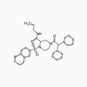 C=CCNC(=O)C1CN(C(=O)C(c2ccccc2)c2ccccc2)CCN1S(=O)(=O)c1ccc2ncccc2c1